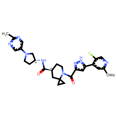 COc1cc(-c2cc(C(=O)N3CC[C@H](C(=O)N[C@@H]4CCN(c5cnc(C)nc5)C4)CC34CC4)n[nH]2)c(F)cn1